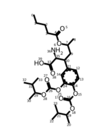 CCCCC(=O)OC(C)CC(c1ccc(OC(=O)OC(C)C(C)C)c(OC(=O)OC(C)C(C)C)c1)[C@H](N)C(=O)O